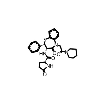 O=C1CC[C@@H](C(=O)N[C@H]2C(=O)N(CC(=O)N3CCCCC3)c3ccccc3S[C@H]2c2ccccc2)N1